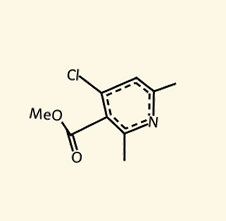 COC(=O)c1c(Cl)cc(C)nc1C